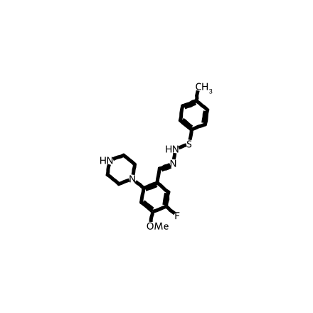 COc1cc(N2CCNCC2)c(/C=N/NSc2ccc(C)cc2)cc1F